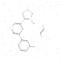 CN1CCCC1c1cncc(-c2cccc(C(F)(F)F)c2)c1.O=C(O)/C=C/C(=O)O